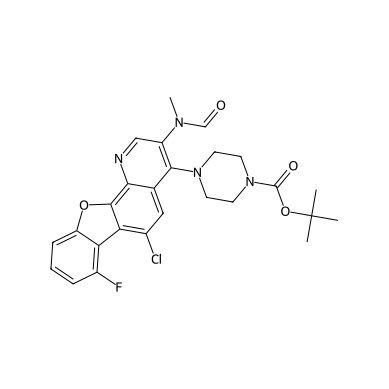 CN(C=O)c1cnc2c(cc(Cl)c3c2oc2cccc(F)c23)c1N1CCN(C(=O)OC(C)(C)C)CC1